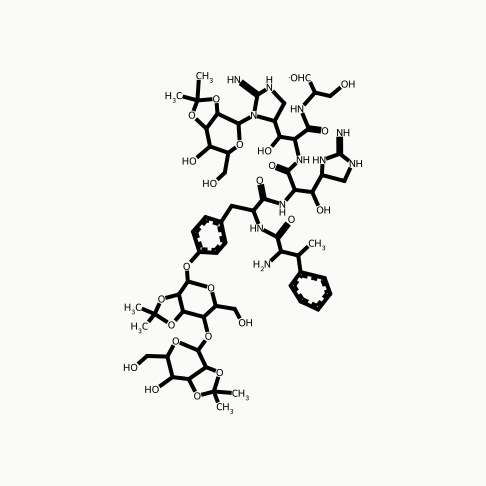 CC(c1ccccc1)C(N)C(=O)NC(Cc1ccc(OC2OC(CO)C(OC3OC(CO)C(O)C4OC(C)(C)OC34)C3OC(C)(C)OC23)cc1)C(=O)NC(C(=O)NC(C(=O)NC([C]=O)CO)C(O)C1CNC(=N)N1C1OC(CO)C(O)C2OC(C)(C)OC21)C(O)C1CNC(=N)N1